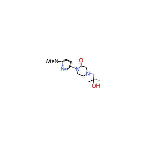 CNc1ccc(N2CCN(CC(C)(C)O)CC2=O)cn1